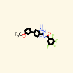 O=C(Nc1n[nH]c2cc(-c3cccc(OC(F)(F)F)c3)ccc12)c1cc(F)c(F)c(F)c1F